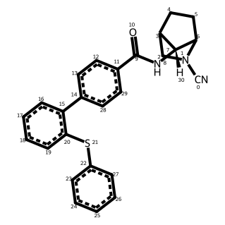 N#CN1CC2CCC1[C@@H]2NC(=O)c1ccc(-c2ccccc2Sc2ccccc2)cc1